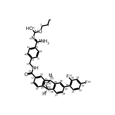 CCCOC(O)N=C(N)c1ccc(CNC(=O)c2ccc3c(c2)[C@@H]2O[C@H]3c3ccc(-c4ccc(F)cc4F)cc32)cc1